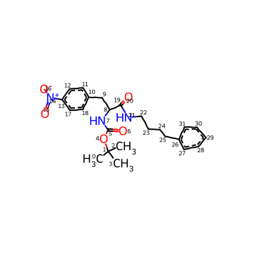 CC(C)(C)OC(=O)NC(Cc1ccc([N+](=O)[O-])cc1)C(=O)NCCCCc1ccccc1